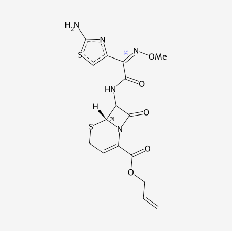 C=CCOC(=O)C1=CCS[C@@H]2C(NC(=O)/C(=N\OC)c3csc(N)n3)C(=O)N12